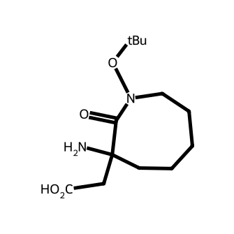 CC(C)(C)ON1CCCCCC(N)(CC(=O)O)C1=O